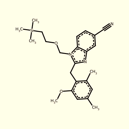 COc1cc(C)cc(C)c1Cc1nc2cc(C#N)ccc2n1COCC[Si](C)(C)C